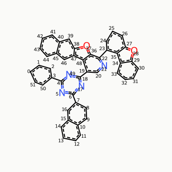 c1ccc(-c2nc(-c3ccc4ccccc4c3)nc(-c3cnc(-c4cccc5oc6ccccc6c45)c4oc5cc6ccccc6cc5c34)n2)cc1